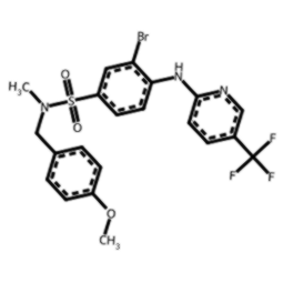 COc1ccc(CN(C)S(=O)(=O)c2ccc(Nc3ccc(C(F)(F)F)cn3)c(Br)c2)cc1